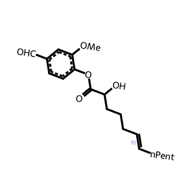 CCCCC/C=C/CCCC(O)C(=O)Oc1ccc(C=O)cc1OC